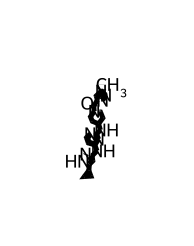 Cn1cc(C(=O)N2CCC(Nc3nccc(Nc4cc(C5CC5)[nH]n4)n3)CC2)nn1